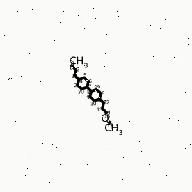 CCCCC1CCC(C2CCC(CCCOCC)CC2)CC1